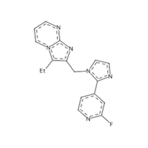 CCc1c(Cn2ccnc2-c2ccnc(F)c2)nc2ncccn12